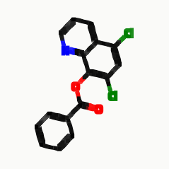 O=C(Oc1c(Cl)cc(Cl)c2cccnc12)c1ccccc1